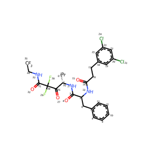 CC(C)[C@H](NC(=O)C(Cc1ccccc1)NC(=O)CCc1cc(Cl)cc(Cl)c1)C(=O)C(F)(F)C(=O)NCC(F)(F)F